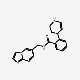 O=C(NCc1ccc2nccn2c1)c1ccccc1C1C=CNCC1